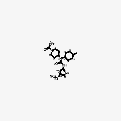 CCCC(=O)N1CCC(N(C(=O)Nc2ncc(SC#N)s2)C2CCC(C)CC2)CC1